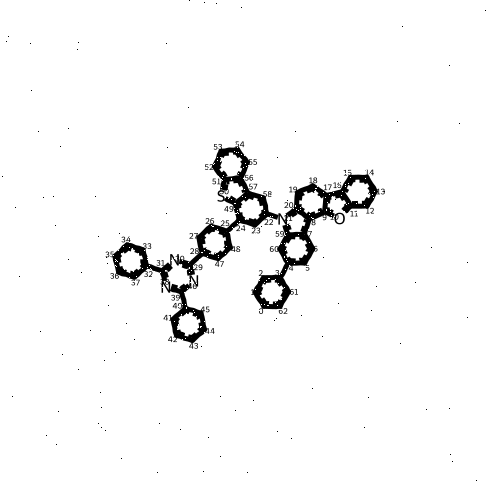 c1ccc(-c2ccc3c4c5oc6ccccc6c5ccc4n(-c4cc(-c5ccc(-c6nc(-c7ccccc7)nc(-c7ccccc7)n6)cc5)c5sc6ccccc6c5c4)c3c2)cc1